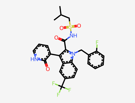 CC(C)CS(=O)(=O)NC(=O)c1c(-c2ccc[nH]c2=O)c2cc(C(F)(F)F)ccc2n1Cc1ccccc1F